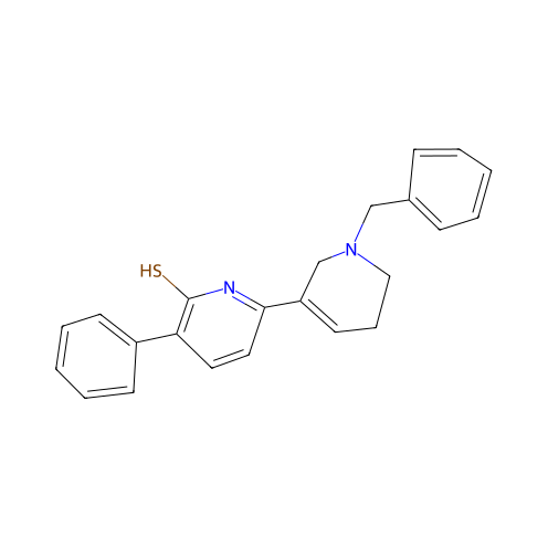 Sc1nc(C2=CCCN(Cc3ccccc3)C2)ccc1-c1ccccc1